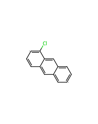 Clc1[c]ccc2cc3c[c]ccc3cc12